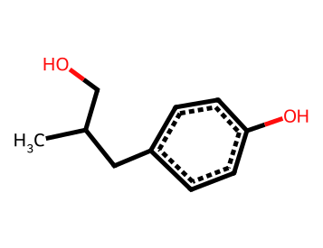 CC(CO)Cc1ccc(O)cc1